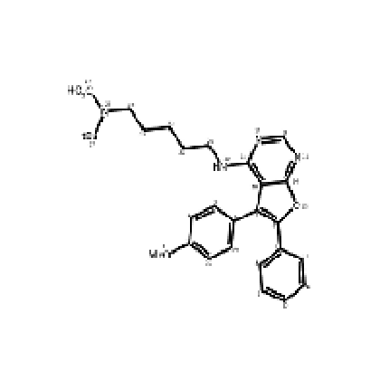 COc1ccc(-c2c(-c3ccccc3)oc3ncnc(NCCCCCN(C(=O)O)C(C)(C)C)c23)cc1